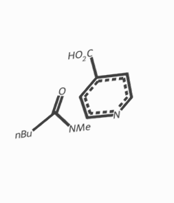 CCCCC(=O)NC.O=C(O)c1ccncc1